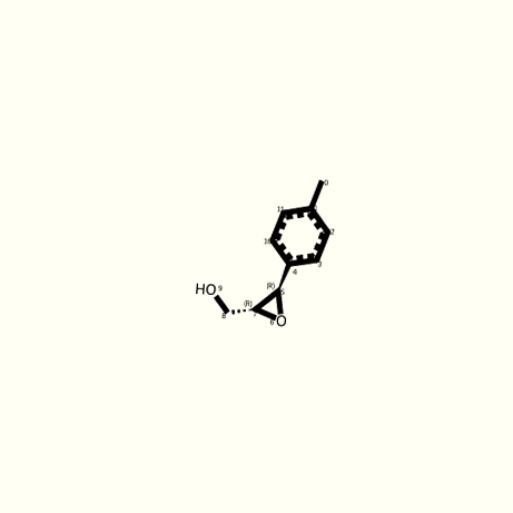 Cc1ccc([C@H]2O[C@@H]2CO)cc1